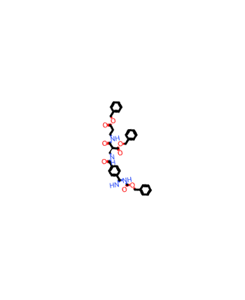 N=C(NC(=O)OCc1ccccc1)c1ccc(C(=O)NC[C@@H](C(=O)NCCC(=O)OCc2ccccc2)C(=O)OCc2ccccc2)cc1